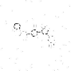 Nc1ncc(C2CCS(O)(O)CC2)cc1-c1ccc(C(=O)NC(CO)c2ccccc2)c(F)c1